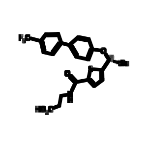 CC(C)(C)[C@@H](Oc1ccc(-c2ccc(C(F)(F)F)cc2)cc1)c1ccc(C(=O)NCCC(=O)O)s1